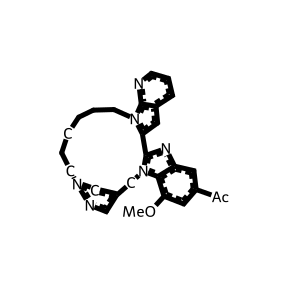 COc1cc(C(C)=O)cc2nc3n(c12)Cc1cnn(c1)CCCCCCn1c-3cc2cccnc21